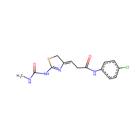 CNC(=O)NC1=NC(=CCC(=O)Nc2ccc(Cl)cc2)CS1